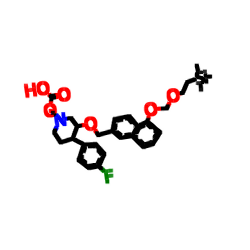 C[Si](C)(C)CCOCOc1cccc2cc(COC3CN(OC(=O)O)CCC3c3ccc(F)cc3)ccc12